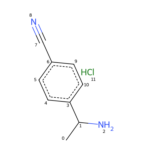 CC(N)c1ccc(C#N)cc1.Cl